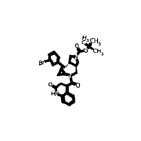 CC(C)(C)OC(=O)N1C[C@@H](Cc2cccc(Br)c2)[C@H](CN(C(=O)C2CC(=O)Nc3ccccc32)C2CC2)C1